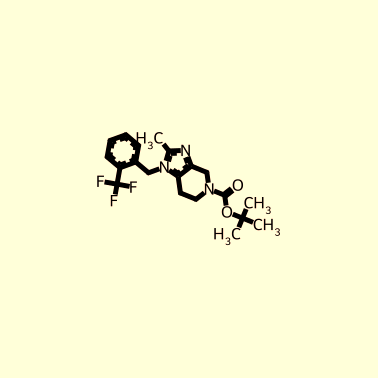 Cc1nc2c(n1Cc1ccccc1C(F)(F)F)CCN(C(=O)OC(C)(C)C)C2